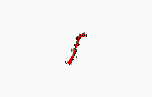 O=C(NCCCCNC(=O)NCCOCCOCCNS(=O)(=O)c1ccc(O[C@@H]2CCc3c(Cl)cc(Cl)cc32)c(F)c1)NCCOCCOCCNS(=O)(=O)c1ccc(O[C@@H]2CCc3c(Cl)cc(Cl)cc32)c(F)c1